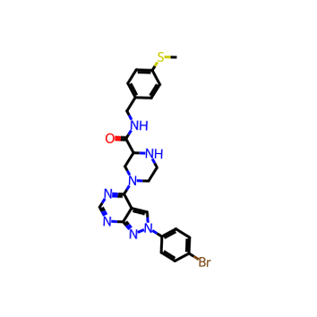 CSc1ccc(CNC(=O)C2CN(c3ncnc4nn(-c5ccc(Br)cc5)cc34)CCN2)cc1